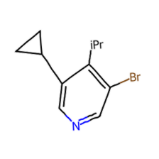 CC(C)c1c(Br)cncc1C1CC1